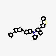 c1ccc(-c2ccc3ccc(-c4ccc5cc(N(c6ccccc6)c6ccc(-c7ccc8sc9ccccc9c8c7)c7ccccc67)ccc5c4)cc3c2)cc1